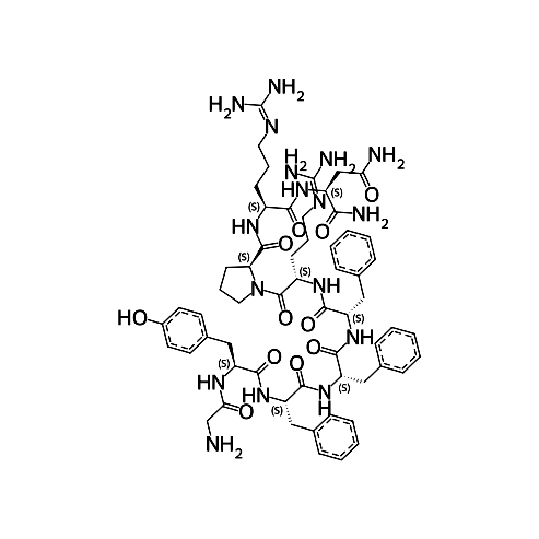 NCC(=O)N[C@@H](Cc1ccc(O)cc1)C(=O)N[C@@H](Cc1ccccc1)C(=O)N[C@@H](Cc1ccccc1)C(=O)N[C@@H](Cc1ccccc1)C(=O)N[C@@H](CCCN=C(N)N)C(=O)N1CCC[C@H]1C(=O)N[C@@H](CCCN=C(N)N)C(=O)N[C@@H](CC(N)=O)C(N)=O